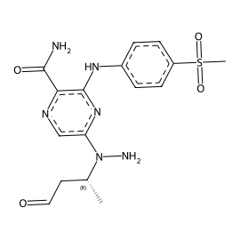 C[C@H](CC=O)N(N)c1cnc(C(N)=O)c(Nc2ccc(S(C)(=O)=O)cc2)n1